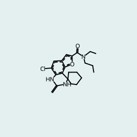 C=C1Nc2c(Cl)cc3cc(C(=O)N(CC)CCC)oc3c2C2(CCCCC2)N1